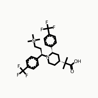 CC(C)(C(=O)O)[C@@H]1CCN([C@H](CC[Si](C)(C)C)c2ccc(C(F)(F)F)cc2)[C@H](c2ccc(C(F)(F)F)cc2)C1